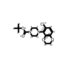 CC(C)(C)OC(=O)N1CCN(c2c(Cl)ccc3c2OCCO3)CC1